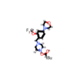 C[C@@H]1CN(Cc2ccc(N3CCOCC3)cc2OC(F)(F)F)CCN1OC(=O)C(C)(C)C